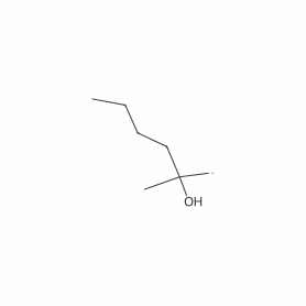 [CH2]C(C)(O)CCCC